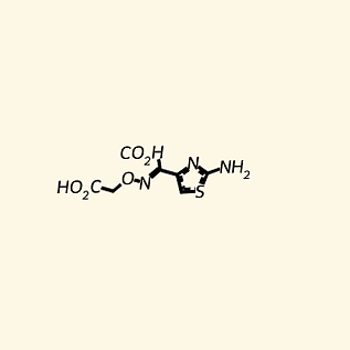 Nc1nc(C(=NOCC(=O)O)C(=O)O)cs1